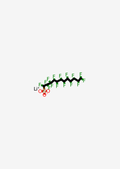 O=S(=O)([O-])C(F)C(F)(F)C(F)(F)C(F)C(F)C(F)C(F)C(F)C(F)C(F)C(F)C(F)F.[Li+]